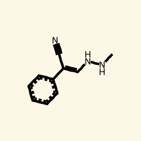 CNNC=C(C#N)c1ccccc1